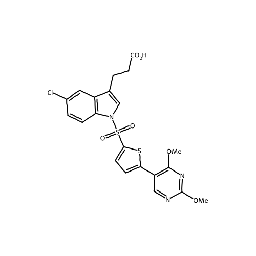 COc1ncc(-c2ccc(S(=O)(=O)n3cc(CCC(=O)O)c4cc(Cl)ccc43)s2)c(OC)n1